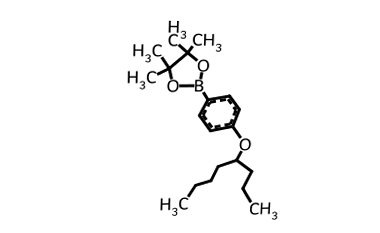 CCCCC(CCC)Oc1ccc(B2OC(C)(C)C(C)(C)O2)cc1